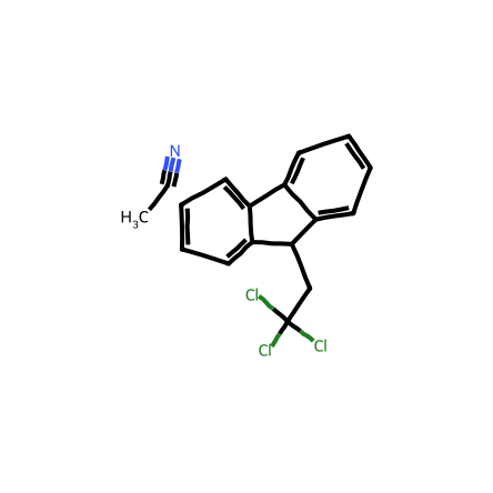 CC#N.ClC(Cl)(Cl)CC1c2ccccc2-c2ccccc21